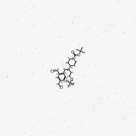 CC(C)(C)OC(=O)N1CCC(N(CCOC(F)(F)F)Cc2ccc(CCl)cc2CCl)CC1